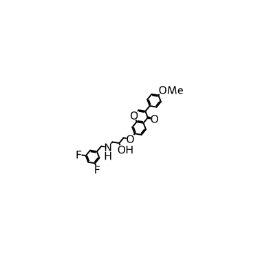 COc1ccc(-c2coc3cc(OCC(O)CNCc4cc(F)cc(F)c4)ccc3c2=O)cc1